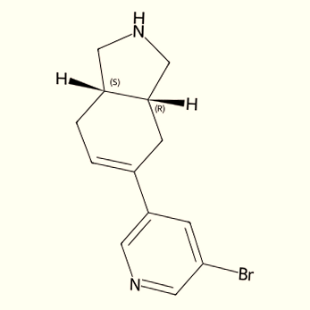 Brc1cncc(C2=CC[C@@H]3CNC[C@@H]3C2)c1